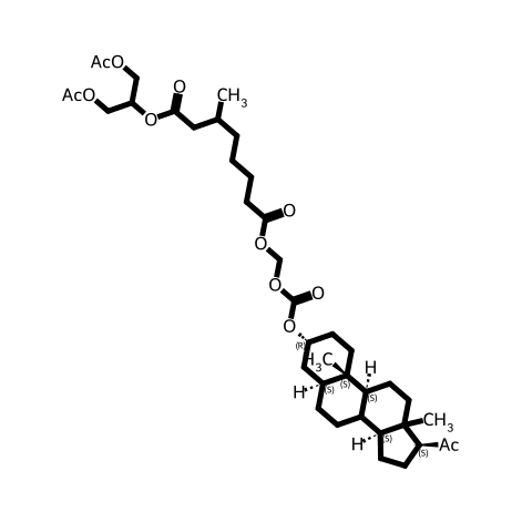 CC(=O)OCC(COC(C)=O)OC(=O)CC(C)CCCCC(=O)OCOC(=O)O[C@@H]1CC[C@@]2(C)[C@@H](CCC3[C@@H]4CC[C@H](C(C)=O)C4(C)CC[C@@H]32)C1